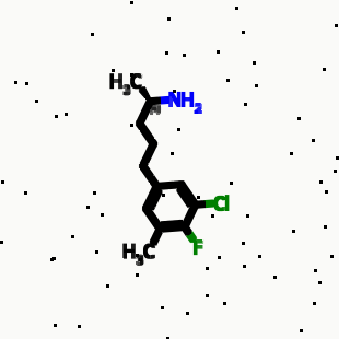 Cc1cc(CCC[C@@H](C)N)cc(Cl)c1F